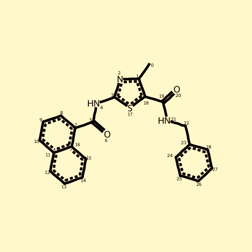 Cc1nc(NC(=O)c2cccc3ccccc23)sc1C(=O)NCc1ccccc1